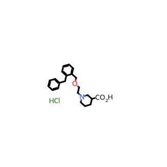 Cl.O=C(O)C1CCCN(CCOCc2ccccc2Cc2ccccc2)C1